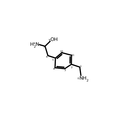 NCc1ccc(CC(N)O)cc1